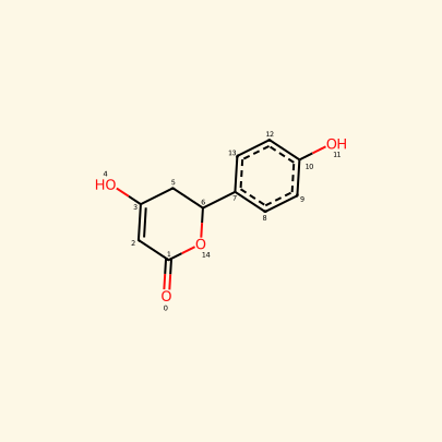 O=C1C=C(O)CC(c2ccc(O)cc2)O1